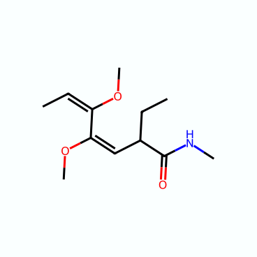 C/C=C(OC)\C(=C/C(CC)C(=O)NC)OC